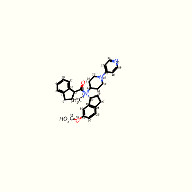 C[N+](C(=O)C1CCc2ccccc21)(C1CCN(c2ccncc2)CC1)[C@@H]1CCc2ccc(OC(=O)O)cc21